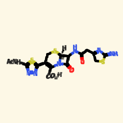 CC(=O)Nc1nnc(C2=C(C(=O)O)N3C(=O)C(NC(=O)CC4=NC(=N)SC4)[C@@H]3SC2)s1